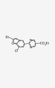 CCOC(=O)c1cnc(-c2cc(Cl)c3oc(CC)cc3c2)nc1